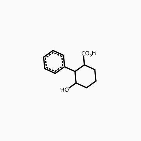 O=C(O)C1CCCC(O)C1c1ccccc1